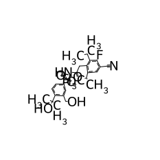 CC(C)c1cc(C#N)c(F)c(C(C)C)c1CC(=O)NS(=O)(=O)c1ccc(C(C)(C)O)c(CO)c1